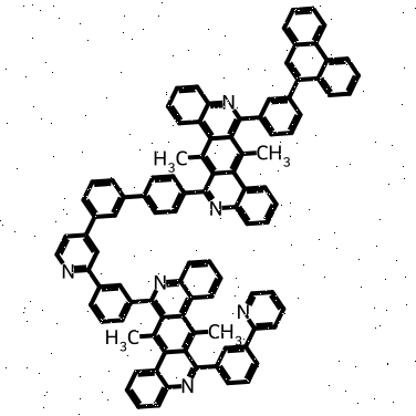 Cc1c2c(-c3cccc(-c4cc5ccccc5c5ccccc45)c3)nc3ccccc3c2c(C)c2c(-c3ccc(-c4cccc(-c5ccnc(-c6cccc(-c7nc8ccccc8c8c(C)c9c(-c%10cccc(-c%11ccccn%11)c%10)nc%10ccccc%10c9c(C)c78)c6)c5)c4)cc3)nc3ccccc3c12